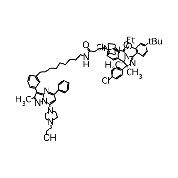 CCOc1cc(C(C)(C)C)ccc1C1=N[C@@](C)(c2ccc(Cl)cc2)[C@@](C)(c2ccc(Cl)cc2)N1C(=O)N1CCN(CCC(=O)NCCCCCCCCCc2cccc(-c3c(C)nn4c(N5CCN(CCO)CC5)cc(-c5ccccc5)nc34)c2)CC1